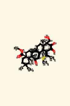 COC(=O)[C@]12CCC(C)(C)C[C@H]1[C@H]1C(=O)C=C3[C@@]4(C)/C(=C(/C)SC)C(=O)C(=O)[C@](C)(CO)[C@@H]4CC[C@@]3(C)[C@]1(C)CC2